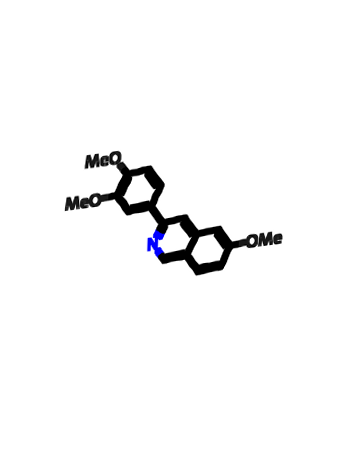 COc1ccc2cnc(-c3ccc(OC)c(OC)c3)cc2c1